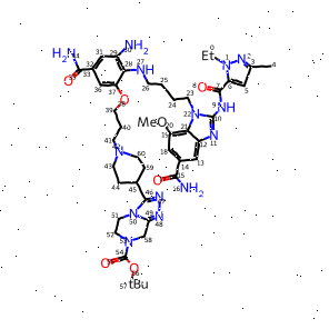 CCn1nc(C)cc1C(=O)Nc1nc2cc(C(N)=O)cc(OC)c2n1CCCCNc1c(N)cc(C(N)=O)cc1OCCCN1CCC(c2nnc3n2CCN(C(=O)OC(C)(C)C)C3)CC1